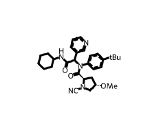 CO[C@H]1C[C@H](C(=O)N(c2ccc(C(C)(C)C)cc2)C(C(=O)NC2CCCCC2)c2cccnc2)N(C#N)C1